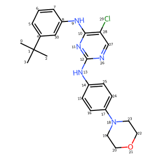 CC(C)(C)c1cccc(Nc2nc(Nc3ccc(N4CCOCC4)cc3)ncc2Cl)c1